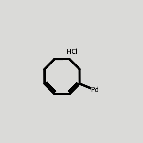 Cl.[Pd][C]1=CC=CCCCC1